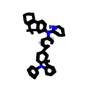 C=C(/C=C\C(=C/C)N(C1=CC=CCN1)c1ccc2c(c1)C(C)(C)C1=C2C=CCC1)C1C=CC2N(c3ccccc3)c3ccccc3C2(C)C1